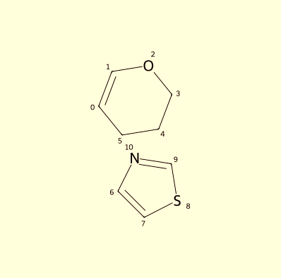 C1=COCCC1.c1cscn1